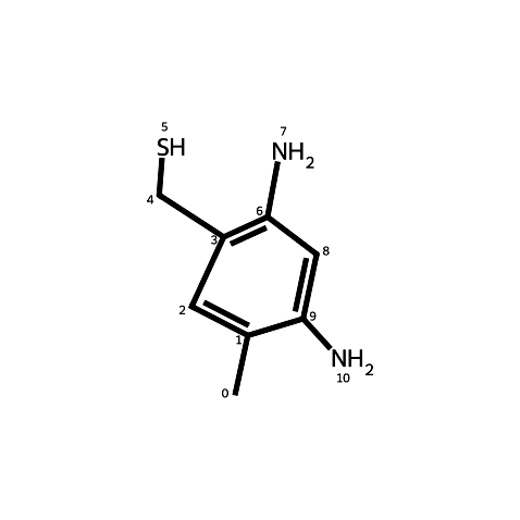 Cc1cc(CS)c(N)cc1N